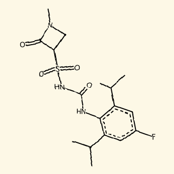 CC(C)c1cc(F)cc(C(C)C)c1NC(=O)NS(=O)(=O)C1CN(C)C1=O